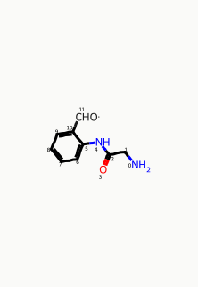 NCC(=O)Nc1ccccc1[C]=O